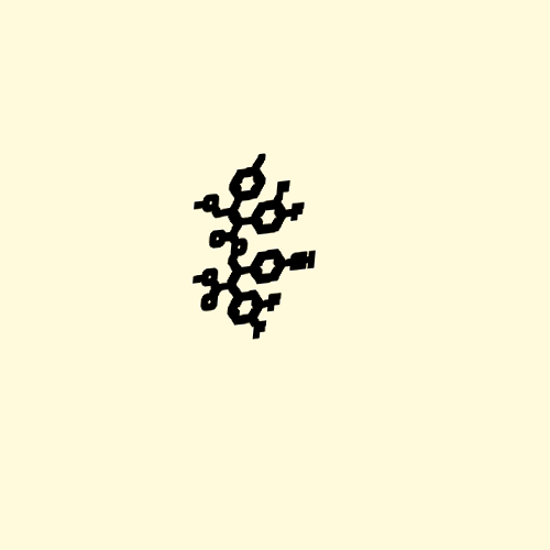 COC/C(=C(\C(=O)OC/C(=C(\C(=O)OC)c1ccc(F)c(F)c1)c1ccc(S)cc1)c1ccc(F)c(F)c1)c1ccc(C)cc1